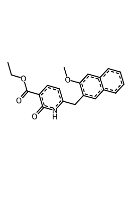 CCOC(=O)c1ccc(Cc2cc3ccccc3cc2OC)[nH]c1=O